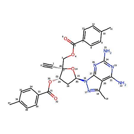 C#C[C@]1(COC(=O)c2ccc(C)cc2)O[C@@H](n2nc(C)c3c(N)nc(N)nc32)C[C@@H]1OC(=O)c1ccc(C)cc1